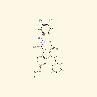 CCOc1ccc2c(c1)N(Cc1ccccc1)C(C(C)C)C2C(=O)NCc1ccc(F)c(F)c1